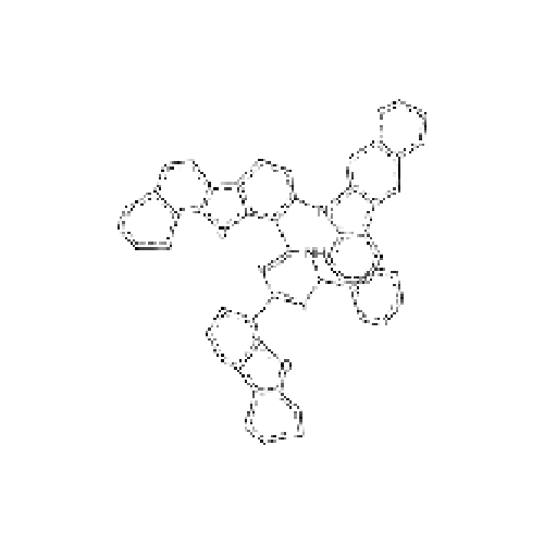 c1ccc(C2N=C(c3cccc4c3oc3ccccc34)N=C(c3c(-n4c5ccccc5c5cc6ccccc6cc54)ccc4c3oc3c5ccccc5ccc43)N2)cc1